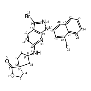 O=C1OCC[C@@]12CC[C@@H](Nc1ncc3c(Br)nn(-c4cc(F)c5ncccc5c4)c3n1)C2